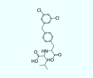 CC(C)CC(NC(Cc1ccc(Cc2cc(Cl)cc(Cl)c2)cc1)C(=O)O)C(=O)O